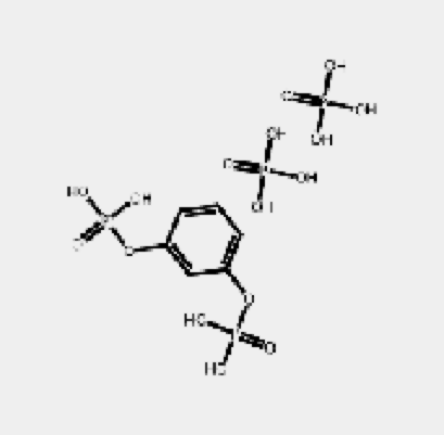 O=P(O)(O)O.O=P(O)(O)O.O=P(O)(O)Oc1cccc(OP(=O)(O)O)c1